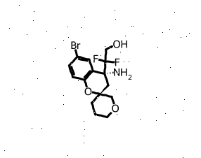 N[C@]1(C(F)(F)CO)C[C@@]2(CCCOC2)Oc2ccc(Br)cc21